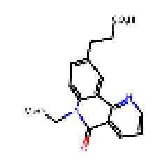 COCn1c(=O)c2cccnc2c2cc(CCC(=O)O)ccc21